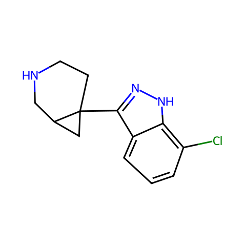 Clc1cccc2c(C34CCNCC3C4)n[nH]c12